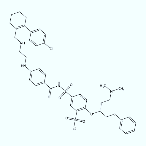 CCS(=O)(=O)c1cc(S(=O)(=O)NC(=O)c2ccc(NCCNCC3=C(c4ccc(Cl)cc4)CCCC3)cc2)ccc1O[C@H](CCN(C)C)CSc1ccccc1